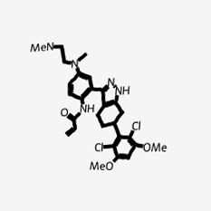 C=CC(=O)Nc1ccc(N(C)CCNC)cc1-c1n[nH]c2c1CCC(c1c(Cl)c(OC)cc(OC)c1Cl)C2